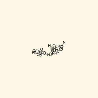 CC(C)Nc1cc(-n2ccc3cc(C#N)cnc32)ncc1C(=O)NC1CCN(Cc2ccc3c(c2)C(=O)N(C2CCC(=O)NC2=O)C3=O)CC1